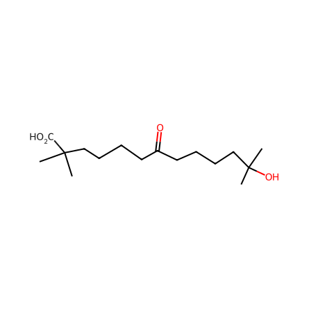 CC(C)(O)CCCCC(=O)CCCCC(C)(C)C(=O)O